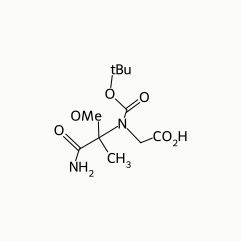 COC(C)(C(N)=O)N(CC(=O)O)C(=O)OC(C)(C)C